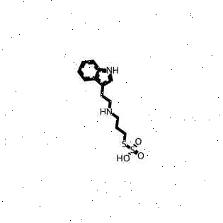 O=S(=O)(O)SCCCNCCc1c[nH]c2ccccc12